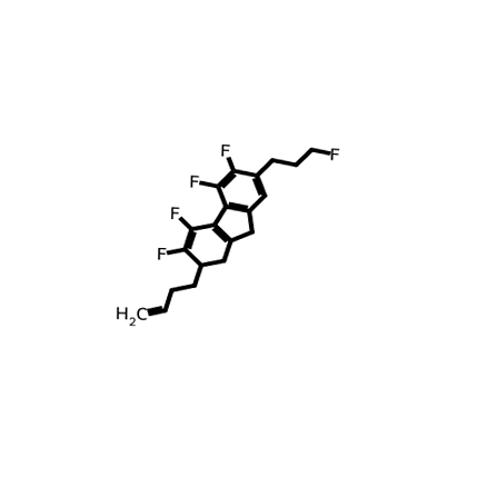 C=CCCC1CC2=C(C(F)=C1F)c1c(cc(CCCF)c(F)c1F)C2